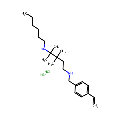 Br.C=Cc1ccc(CNCCC(C)(C)C(C)(C)NCCCCCC)cc1.Cl